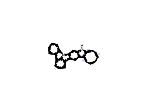 C1=C\C=c2/c([nH]c3cc4c(cc23)c2cccc3c5ccccc5n4c32)=C\C=C/1